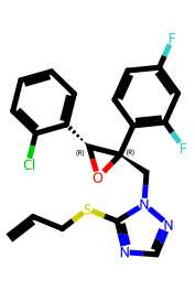 C=CCSc1ncnn1C[C@@]1(c2ccc(F)cc2F)O[C@@H]1c1ccccc1Cl